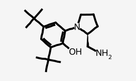 CC(C)(C)c1cc(N2CCC[C@H]2CN)c(O)c(C(C)(C)C)c1